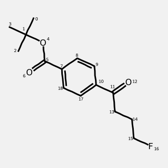 CC(C)(C)OC(=O)c1ccc(C(=O)CCCF)cc1